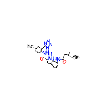 CC(CC(=O)Nc1cccc2cc(C(=O)Nc3ccc(C#N)cc3-c3nnn[nH]3)[nH]c12)CC(C)(C)C